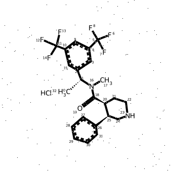 C[C@H](c1cc(C(F)(F)F)cc(C(F)(F)F)c1)N(C)C(=O)[C@H]1CCNC[C@H]1c1ccccc1.Cl